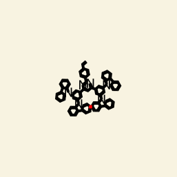 C=Cc1ccc(-c2nc(-c3cc(-n4c5ccccc5c5ccccc54)cc(-n4c5ccccc5c5ccccc54)c3)cc(-c3cc(-n4c5ccccc5c5ccccc54)cc(-n4c5ccccc5c5ccccc54)c3)n2)cc1